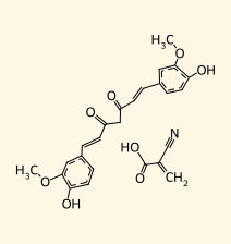 C=C(C#N)C(=O)O.COc1cc(/C=C/C(=O)CC(=O)/C=C/c2ccc(O)c(OC)c2)ccc1O